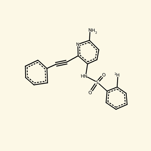 [2H]c1ccccc1S(=O)(=O)Nc1ccc(N)nc1C#Cc1ccccc1